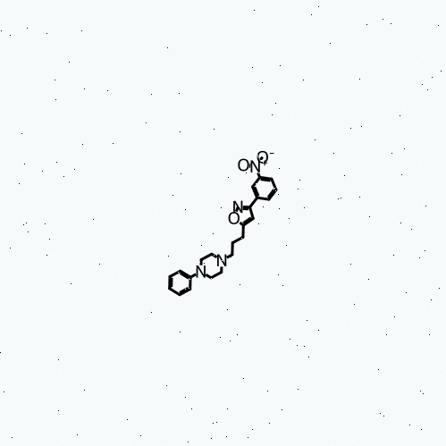 O=[N+]([O-])c1cccc(-c2cc(CCCN3CCN(c4ccccc4)CC3)on2)c1